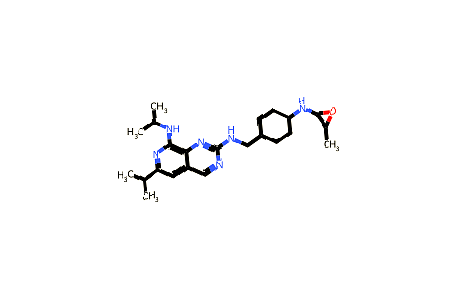 CC(C)Nc1nc(C(C)C)cc2cnc(NCC3CCC(NC4OC4C)CC3)nc12